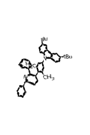 Cc1cc(-n2c3ccc(C(C)(C)C)cc3c3cc(C(C)(C)C)ccc32)cc(C)c1-c1ccc(-c2ccccc2)nc1-c1ccccc1